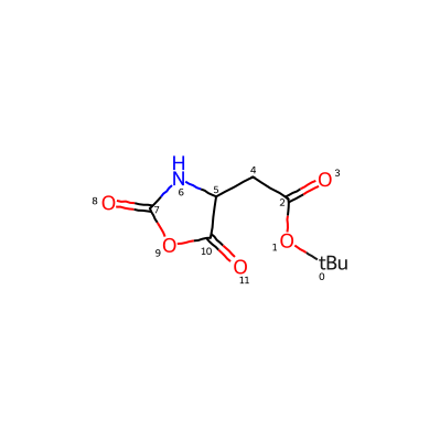 CC(C)(C)OC(=O)CC1NC(=O)OC1=O